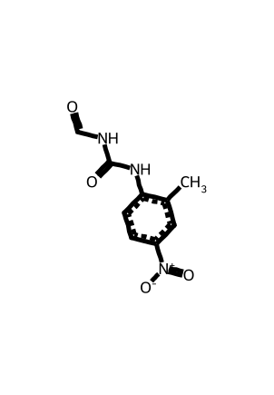 Cc1cc([N+](=O)[O-])ccc1NC(=O)NC=O